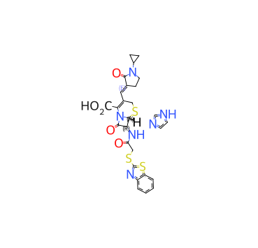 O=C(CSc1nc2ccccc2s1)N[C@@H]1C(=O)N2C(C(=O)O)=C(/C=C3\CCN(C4CC4)C3=O)CS[C@H]12.c1c[nH]cn1